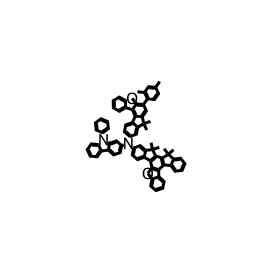 Cc1ccc(-c2cc3c(c4c2oc2ccccc24)-c2ccc(N(c4ccc5c(c4)C(C)(C)c4c6c(c7c(oc8ccccc87)c4-5)-c4ccccc4C6(C)C)c4ccc5c6ccccc6n(-c6ccccc6)c5c4)cc2C3(C)C)c(C)c1